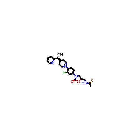 CC(=S)NCC1CN(c2ccc(N3CCC(=C(C#N)c4ccccn4)CC3)c(F)c2)C(=O)O1